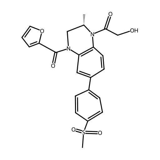 C[C@H]1CN(C(=O)c2ccco2)c2cc(-c3ccc(S(C)(=O)=O)cc3)ccc2N1C(=O)CO